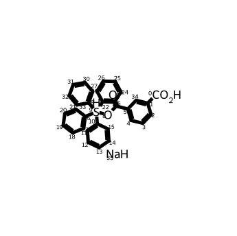 O=C(O)c1cccc(C(=O)O[SH](c2ccccc2)(c2ccccc2)(c2ccccc2)c2ccccc2)c1.[NaH]